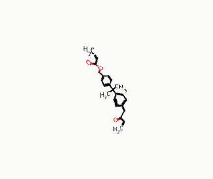 C=CC(=O)Cc1ccc(C(C)(C)c2ccc(COC(=O)C=C)cc2)cc1